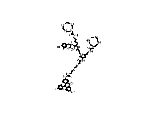 NC(=O)C(Cc1ccc(O)cc1)NC(=O)C(CCCCNC(=O)CN1CCNCCNCCNCC1)NC(=O)CCNC(=O)C(CCCCNC(=O)CN1CCNCCNCCNCC1)NC(=O)COCCOCCNC(=S)Nc1ccc(-c2c3ccc(=O)cc-3oc3cc(O)ccc23)c(C(=O)O)c1